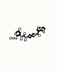 COc1ncc(Cl)cc1NC(=O)NC1CC2(C1)CN(C(=O)c1cnn3ccn(C)c13)C2